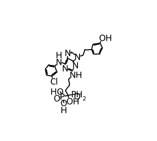 O=[PH2]C(O)(CCCNc1nc(Nc2cccc(Cl)c2)c2ncn(CCc3cccc(O)c3)c2n1)P(=O)(O)O